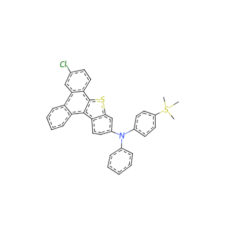 CS(C)(C)c1ccc(N(c2ccccc2)c2ccc3c(c2)sc2c4ccc(Cl)cc4c4ccccc4c32)cc1